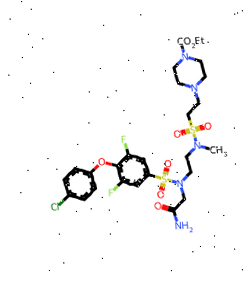 CCOC(=O)N1CCN(CCS(=O)(=O)N(C)CCN(CC(N)=O)S(=O)(=O)c2cc(F)c(Oc3ccc(Cl)cc3)c(F)c2)CC1